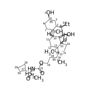 CC[C@@H]1C2C[C@H](O)CCC2(C)[C@H]2CCC3(C)[C@@H]([C@H](C)CCOC(=O)N[SH](C)(=O)C4CCC4)CC[C@H]3C2[C@@H]1O